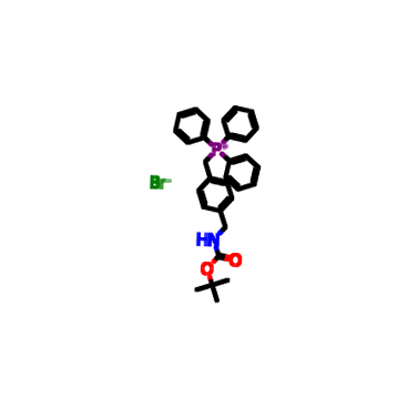 CC(C)(C)OC(=O)NCc1ccc(C[P+](c2ccccc2)(c2ccccc2)c2ccccc2)cc1.[Br-]